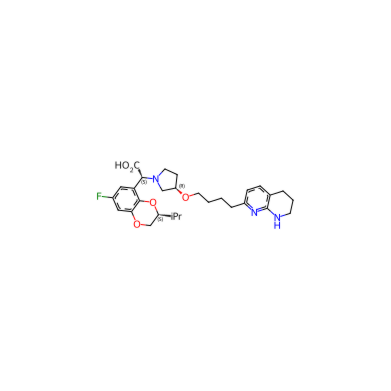 CC(C)[C@H]1COc2cc(F)cc([C@@H](C(=O)O)N3CC[C@@H](OCCCCc4ccc5c(n4)NCCC5)C3)c2O1